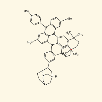 Cc1cc2c3c(c1)N(c1ccc(C4C[C@H]5CC6CCC4C(C6)C5)cc1-c1ccccc1)c1cc4c(cc1B3c1cc(C(C)(C)C)ccc1N2c1ccc(C(C)(C)C)cc1)C(C)(C)CCC4(C)C